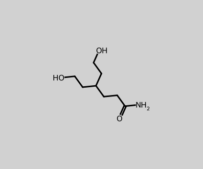 NC(=O)CCC(CCO)CCO